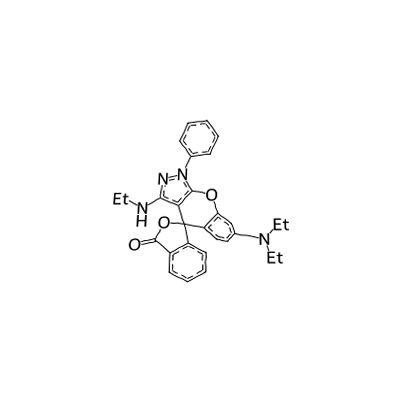 CCNc1nn(-c2ccccc2)c2c1C1(OC(=O)c3ccccc31)c1ccc(N(CC)CC)cc1O2